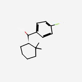 CC1(C)CCCC[C@H]1C(O)c1ccc(F)cc1